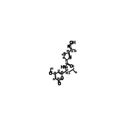 CCC[C@@H](NC(=O)C1CSC(/C(C)=N/O)=N1)c1cc(OC)cc(=O)o1